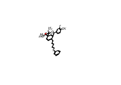 CC1(C)OC(c2ccc(O)c(F)c2)C2CC1(CO)CC=C2CCCCCSc1ccccc1